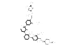 COc1cc(-c2nccc(-c3cccc(-c4ccc(CNC5CCN(C(C)=O)CC5)c(OC)n4)c3Cl)c2Cl)ccc1CNC[C@@H]1CNC(=O)C1